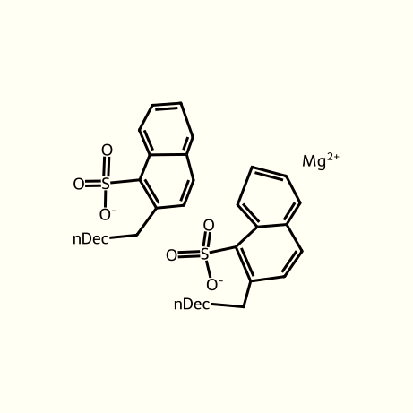 CCCCCCCCCCCc1ccc2ccccc2c1S(=O)(=O)[O-].CCCCCCCCCCCc1ccc2ccccc2c1S(=O)(=O)[O-].[Mg+2]